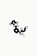 CN(C(=O)/C=C\C=O)c1cccc(C(=O)ON2C(=O)CCC2=O)c1